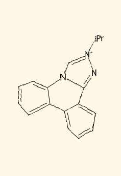 CC(C)[n+]1cn2c3ccccc3c3ccccc3c2n1